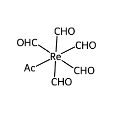 C[C](=O)[Re]([CH]=O)([CH]=O)([CH]=O)([CH]=O)[CH]=O